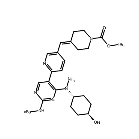 CCCCNc1ncc(-c2ccc(C=C3CCN(C(=O)OC(C)(C)C)CC3)cn2)c(N(N)[C@H]2CC[C@H](O)CC2)n1